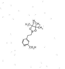 CC1(C)OB(CCc2ccnc(C(=O)O)c2)OC1(C)C